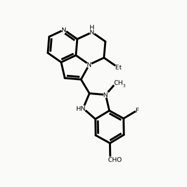 CCC1CNc2nccc3cc(C4Nc5cc(C=O)cc(F)c5N4C)n1c23